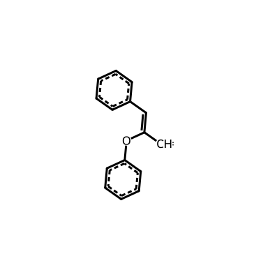 [CH]C(=Cc1ccccc1)Oc1ccccc1